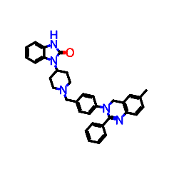 Cc1ccc2c(c1)CN(c1ccc(CN3CCC(n4c(=O)[nH]c5ccccc54)CC3)cc1)C(c1ccccc1)=N2